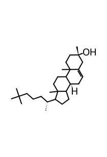 C[C@H](CCCC(C)(C)C)C1CCC2[C@@H]3CC=C4C[C@@](C)(O)CCC4(C)C3CCC21C